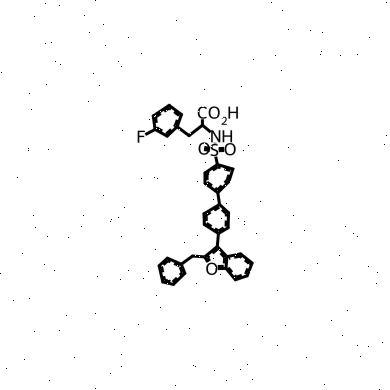 O=C(O)C(Cc1cccc(F)c1)NS(=O)(=O)c1ccc(-c2ccc(-c3c(Cc4ccccc4)oc4ccccc34)cc2)cc1